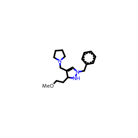 COCCC1NN(Cc2ccccc2)C=C1CN1CCCC1